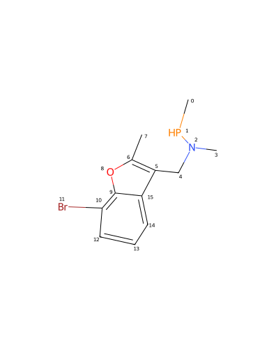 CPN(C)Cc1c(C)oc2c(Br)cccc12